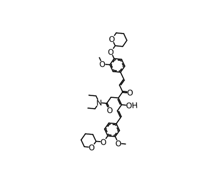 CCN(CC)C(=O)C/C(C(=O)/C=C/c1ccc(OC2CCCCO2)c(OC)c1)=C(O)\C=C\c1ccc(OC2CCCCO2)c(OC)c1